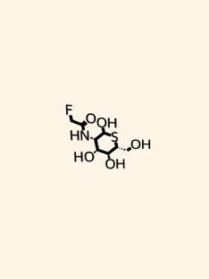 O=C(CF)N[C@@H]1C(O)S[C@H](CO)[C@@H](O)[C@@H]1O